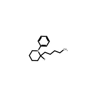 CCCCCC1(F)CCCCB1c1ccccc1